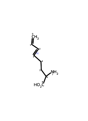 C=C/C=C/CCC(N)C(=O)O